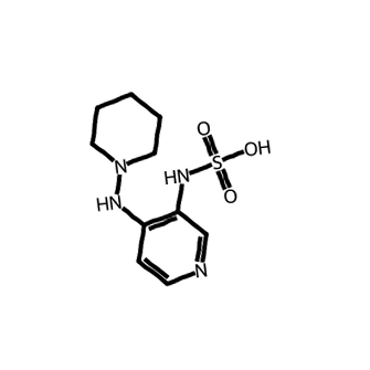 O=S(=O)(O)Nc1cnccc1NN1CCCCC1